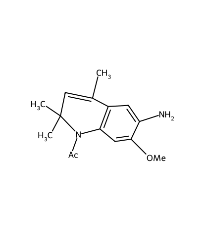 COc1cc2c(cc1N)C(C)=CC(C)(C)N2C(C)=O